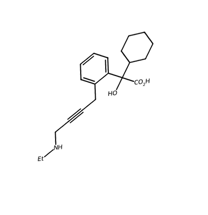 CCNCC#CCc1ccccc1C(O)(C(=O)O)C1CCCCC1